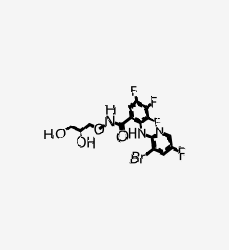 O=C(NOC[C@H](O)CO)c1cc(F)c(F)c(F)c1Nc1ncc(F)cc1Br